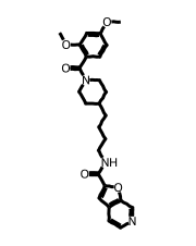 COc1ccc(C(=O)N2CCC(CCCCNC(=O)c3cc4ccncc4o3)CC2)c(OC)c1